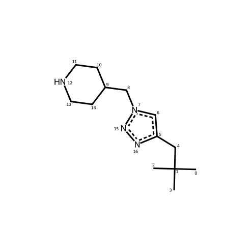 CC(C)(C)Cc1cn(CC2CCNCC2)nn1